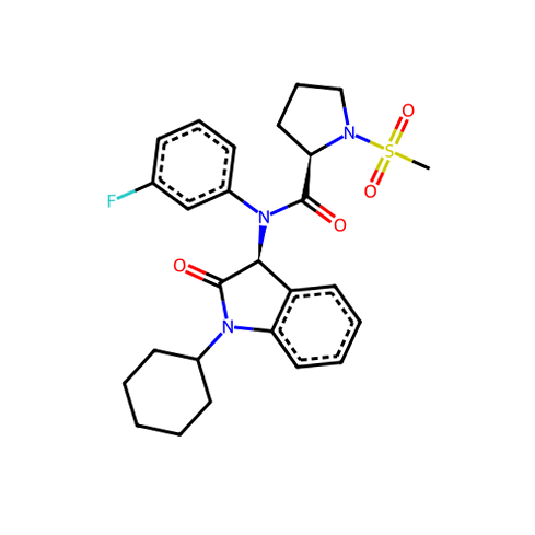 CS(=O)(=O)N1CCC[C@@H]1C(=O)N(c1cccc(F)c1)[C@@H]1C(=O)N(C2CCCCC2)c2ccccc21